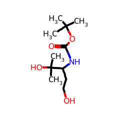 CC(C)(C)OC(=O)NC(CCO)C(C)(C)O